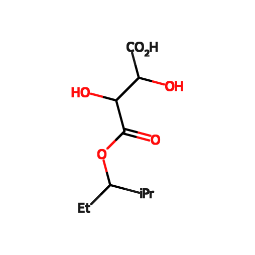 CCC(OC(=O)C(O)C(O)C(=O)O)C(C)C